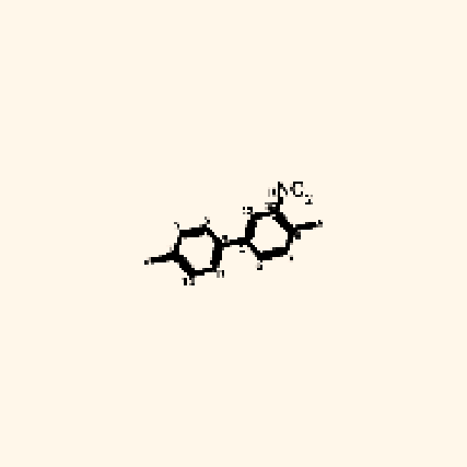 Cc1ccc(-c2ccc(C)c([N+](=O)[O-])c2)cc1